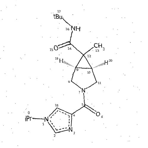 CC(C)n1cnc(C(=O)N2C[C@@H]3[C@H](C2)C3(C)C(=O)NC(C)(C)C)c1